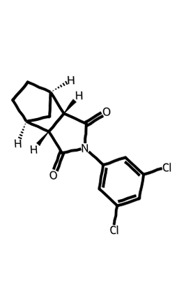 O=C1[C@@H]2[C@H]3CC[C@H](C3)[C@@H]2C(=O)N1c1cc(Cl)cc(Cl)c1